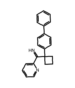 N=C(c1ccccn1)C1(c2ccc(-c3ccccc3)cc2)CCC1